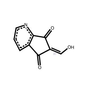 O=C1/C(=C/O)C(=O)c2ncccc21